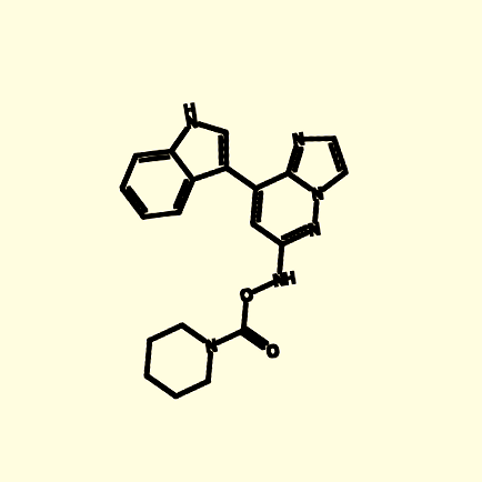 O=C(ONc1cc(-c2c[nH]c3ccccc23)c2nccn2n1)N1CCCCC1